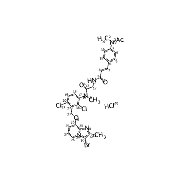 CC(=O)N(C)c1ccc(C=CC(=O)NCC(=O)N(C)c2ccc(Cl)c(COc3cccn4c(Br)c(C)nc34)c2Cl)cc1.Cl